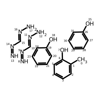 Cc1ccccc1O.N=NC=NN.N=NC=NN.Oc1ccccc1.Oc1ccccc1